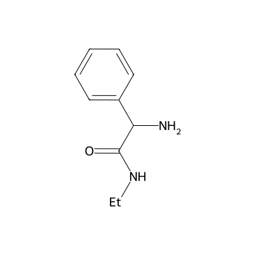 CCNC(=O)C(N)c1ccccc1